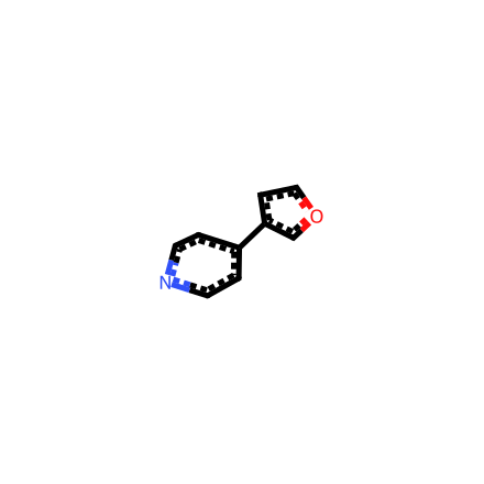 c1cc(-c2ccoc2)ccn1